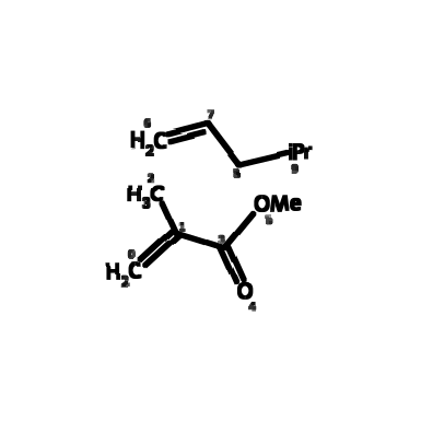 C=C(C)C(=O)OC.C=CCC(C)C